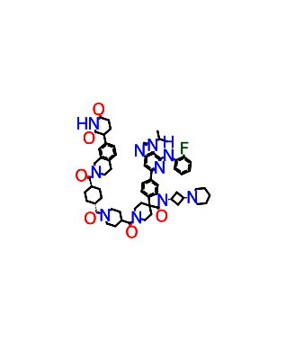 CC(C)n1cnc2cc(-c3ccc4c(c3)N([C@H]3C[C@@H](N5CCCCC5)C3)C(=O)C43CCN(C(=O)C4CCN(C(=O)[C@H]5CC[C@H](C(=O)N6CCc7ccc(C8CCC(=O)NC8=O)cc7C6)CC5)CC4)CC3)nc(Nc3ccccc3F)c21